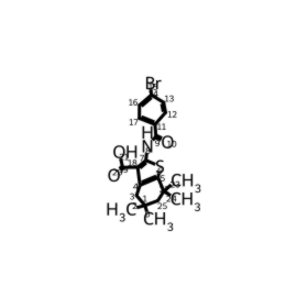 CC1(C)Cc2c(sc(NC(=O)c3ccc(Br)cc3)c2C(=O)O)C(C)(C)C1